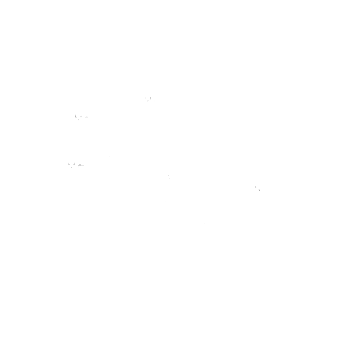 COc1cc(C(=O)C2CCC2c2ccc(F)c(N)c2)cc(OC)c1OC